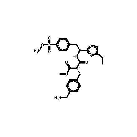 CCc1csc([C@H](Cc2ccc(S(=O)(=O)ON)cc2)NC(=O)[C@H](Cc2ccc(CN)cc2)C(=O)OC)n1